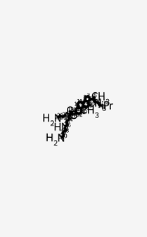 CC(C)CCCC(C)C1CCC2C3CC=C4CC(OC(=O)N(CCCN)CCCNCCCN)CCC4(C)C3CCC12C